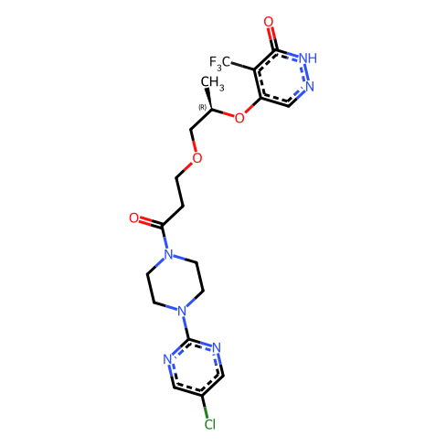 C[C@H](COCCC(=O)N1CCN(c2ncc(Cl)cn2)CC1)Oc1cn[nH]c(=O)c1C(F)(F)F